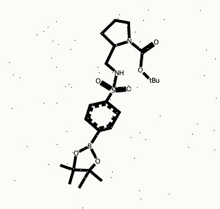 CC(C)(C)OC(=O)N1CCCC1CNS(=O)(=O)c1ccc(B2OC(C)(C)C(C)(C)O2)cc1